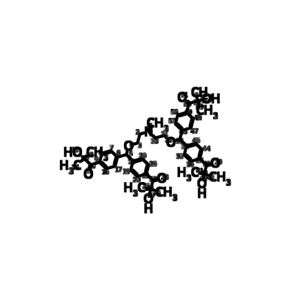 CN(CCOC(c1ccc(C(=O)C(C)(C)O)cc1)c1ccc(C(=O)C(C)(C)O)cc1)CCOC(c1ccc(C(=O)C(C)(C)O)cc1)c1ccc(C(=O)C(C)(C)O)cc1